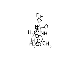 COC(C)(C)CC(=O)Nc1c(C2CCC2)c(C2CC(F)(F)C2)nn1C